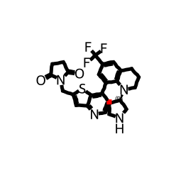 O=C1CCC(=O)N1Cc1cc2nccc(-c3cc(C(F)(F)F)cc4c3N([C@@H]3CCNC3)CCC4)c2s1